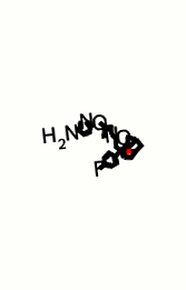 Nc1ccc(OC2CN(C(=O)CC3(c4ccc(F)cc4)C4CC5CC(C4)CC3C5)C2)nc1